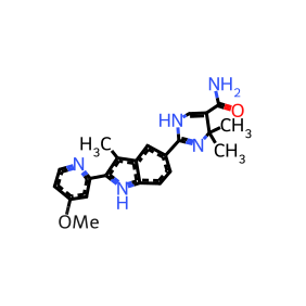 COc1ccnc(-c2[nH]c3ccc(C4=NC(C)(C)C(C(N)=O)=CN4)cc3c2C)c1